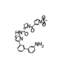 CS(=O)(=O)n1ccc(C(=O)N2CC[C@H]2C(=O)Nc2nc(-c3cccc(-c4cccc(N)c4)c3)cs2)c1